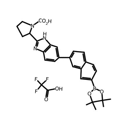 CC1(C)OB(c2ccc3ccc(-c4ccc5nc(C6CCCN6C(=O)O)[nH]c5c4)cc3c2)OC1(C)C.O=C(O)C(F)(F)F